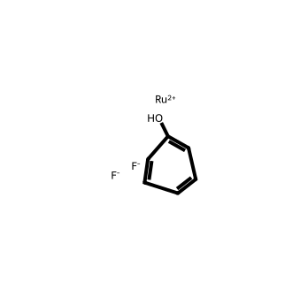 Oc1ccccc1.[F-].[F-].[Ru+2]